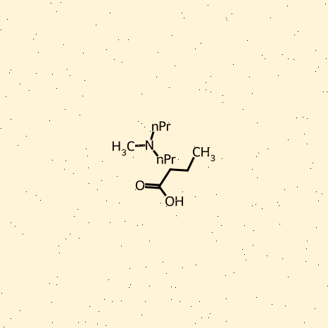 CCCC(=O)O.CCCN(C)CCC